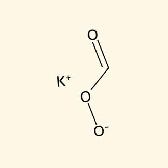 O=CO[O-].[K+]